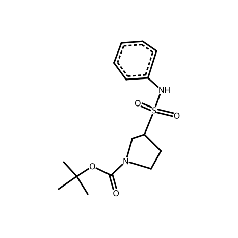 CC(C)(C)OC(=O)N1CCC(S(=O)(=O)Nc2ccccc2)C1